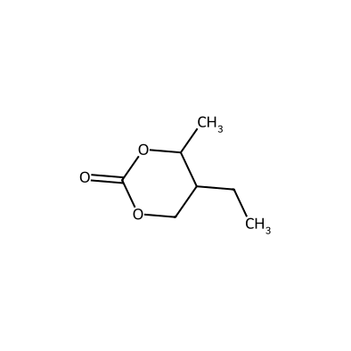 CCC1COC(=O)OC1C